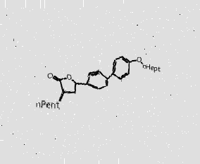 CCCCCCCOc1ccc(-c2ccc(C3CC(CCCCC)C(=O)O3)cc2)cc1